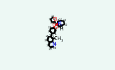 Cc1c(-c2ccc(O[C@H]3CC4CC[C@@H](C3)N4C(=O)[C@H]3CCCO3)cc2)ccc2cccnc12